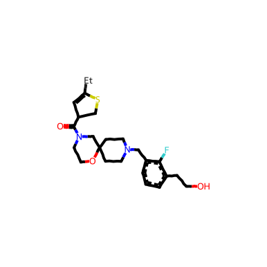 CCC1=CC(C(=O)N2CCOC3(CCN(Cc4cccc(CCO)c4F)CC3)C2)CS1